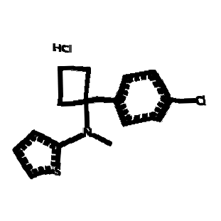 CN(c1cccs1)C1(c2ccc(Cl)cc2)CCC1.Cl